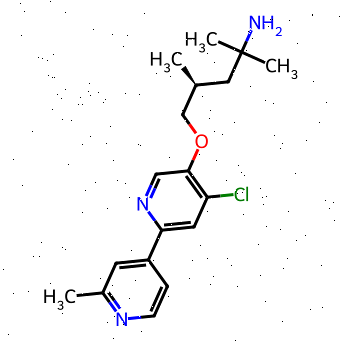 Cc1cc(-c2cc(Cl)c(OC[C@@H](C)CC(C)(C)N)cn2)ccn1